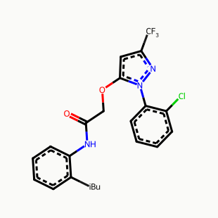 CCC(C)c1ccccc1NC(=O)COc1cc(C(F)(F)F)nn1-c1ccccc1Cl